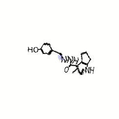 O=C(N/N=C/c1ccc(O)cc1)c1n[nH]c2c1CCC2